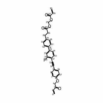 C=CC(=O)COc1ccc(C#Cc2ccc(-c3ccc(CCC(=O)OCOC(=O)C=C)cc3)cc2F)cc1